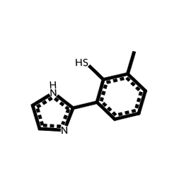 Cc1cccc(-c2ncc[nH]2)c1S